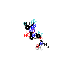 COCCN(C)CCOc1ccc(CN2C(=O)C(C(=O)Nc3ccc(C(F)(F)F)cc3-c3ncnc(C(F)(F)F)c3C)=C(O)C3(CCCC3)N2C)c(F)c1F